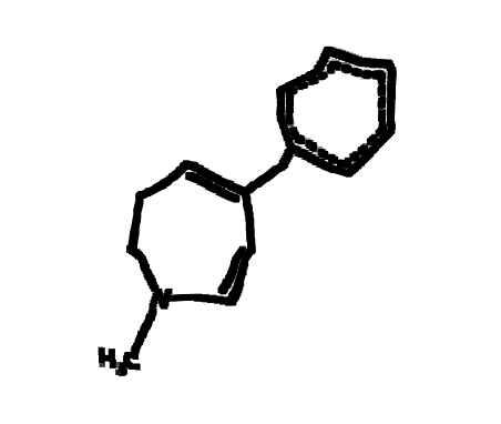 CN1C=CC(c2ccccc2)=CCC1